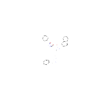 CC[N+](CC)(CCCCN(Cc1ccc2ccccc2c1)C(=O)c1oc(-c2ccccc2)nc1C)Cc1cc(C)cc(C)c1